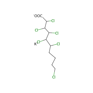 O=C([O-])C(Cl)C(Cl)C(Cl)C(Cl)C(Cl)CCCCCl.[K+]